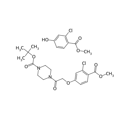 COC(=O)c1ccc(O)cc1Cl.COC(=O)c1ccc(OCC(=O)N2CCN(C(=O)OC(C)(C)C)CC2)cc1Cl